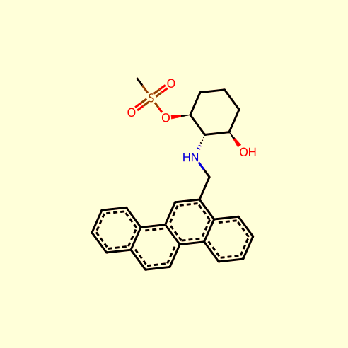 CS(=O)(=O)O[C@H]1CCC[C@@H](O)[C@@H]1NCc1cc2c3ccccc3ccc2c2ccccc12